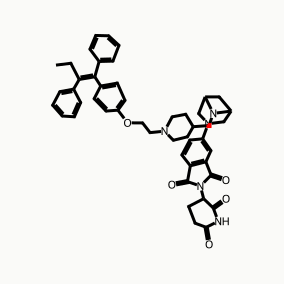 CCC(=C(c1ccccc1)c1ccc(OCCN2CCC(CN3C4CC3CN(c3ccc5c(c3)C(=O)N(C3CCC(=O)NC3=O)C5=O)C4)CC2)cc1)c1ccccc1